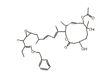 CCC(=NOCc1ccccc1)C(C)C1OC1CC(C)/C=C/C=C(\C)C1OC(=O)CC(O)CCC(C)(O)C(OC(C)=O)/C=C/C1C